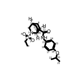 CCS(=O)(=O)N1C[C@H]2CC[C@@H]1[C@H](C(=O)Nc1ccc(OC(C)C)cc1)C2